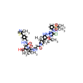 Cc1cc(Nc2ncc(Cl)c(Nc3ccccc3S(=O)(=O)C(C)C)n2)c(OC(C)C)cc1C1CCN(C(=O)CCCN[C@H](C(=O)N2C[C@H](O)C[C@H]2C(=O)NCc2ccc(-c3scnc3C)cc2)C(C)(C)C)CC1